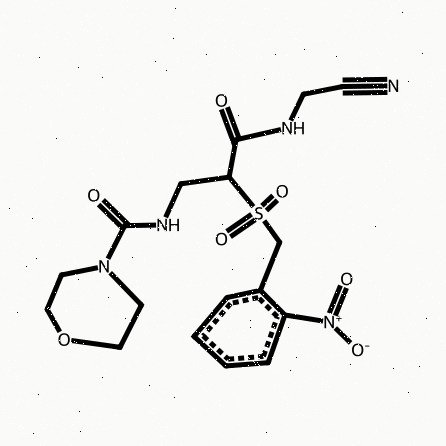 N#CCNC(=O)C(CNC(=O)N1CCOCC1)S(=O)(=O)Cc1ccccc1[N+](=O)[O-]